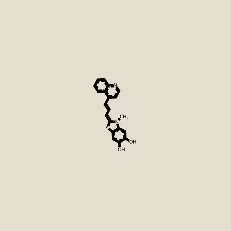 CN1C(=CC=Cc2ccnc3ccccc23)Sc2cc(O)c(O)cc21